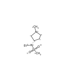 CCN([C@H]1CCN(C)C1)S(C)(=O)=O